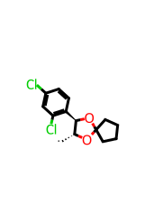 [CH2][C@H]1OC2(CCCC2)O[C@@H]1c1ccc(Cl)cc1Cl